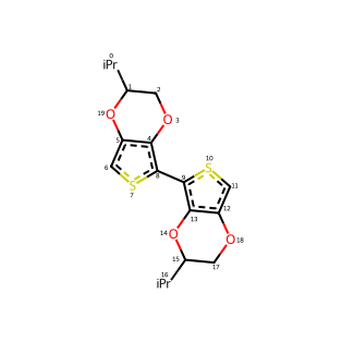 CC(C)C1COc2c(csc2-c2scc3c2OC(C(C)C)CO3)O1